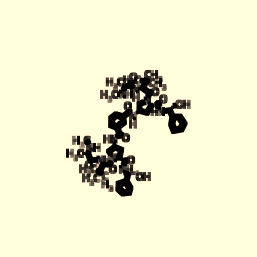 CN[C@@H](C)C(=O)N[C@H](C(=O)N1C[C@@H](NC(=O)c2cccc(C(=O)N[C@H]3C[C@@H](C(=O)N[C@H](CO)c4ccccc4)N(C(=O)[C@@H](NC(=O)[C@H](C)NC)C(C)(C)C)C3)c2)C[C@H]1C(=O)N[C@H](CO)c1ccccc1)C(C)(C)C